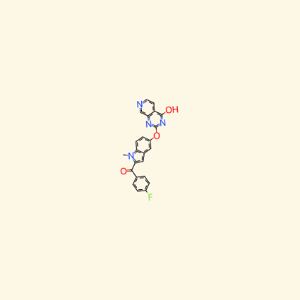 Cn1c(C(=O)c2ccc(F)cc2)cc2cc(Oc3nc(O)c4ccncc4n3)ccc21